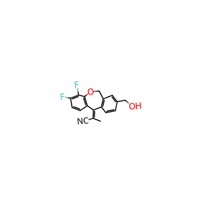 CC(C#N)=C1c2ccc(CO)cc2COc2c1ccc(F)c2F